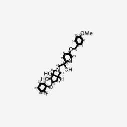 COc1ccc(COc2ccc(C(O)CN3C[C@@H]4C[C@@H](Oc5ccccc5F)[C@@H](O)[C@]4(O)C3)nc2)cc1